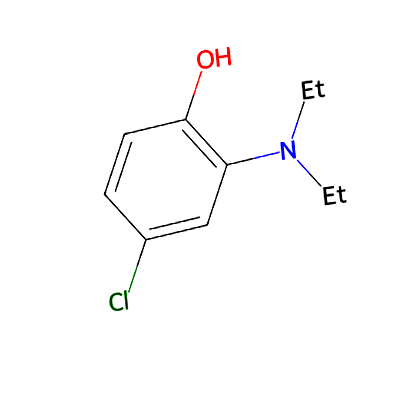 CCN(CC)c1cc(Cl)ccc1O